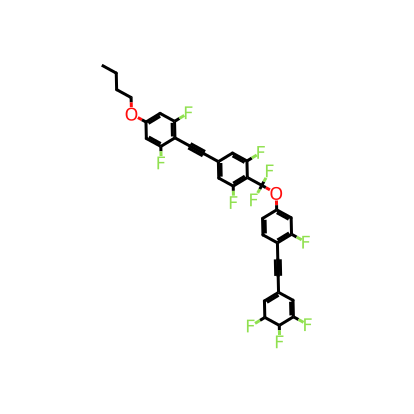 CCCCOc1cc(F)c(C#Cc2cc(F)c(C(F)(F)Oc3ccc(C#CC4=CC(F)C(F)C(F)=C4)c(F)c3)c(F)c2)c(F)c1